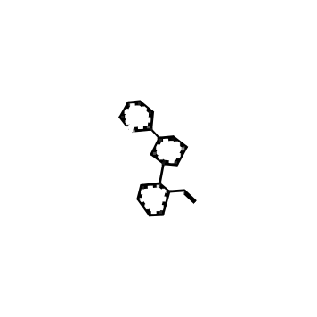 C=Cc1ccccc1-c1cccc(-c2ccccn2)c1